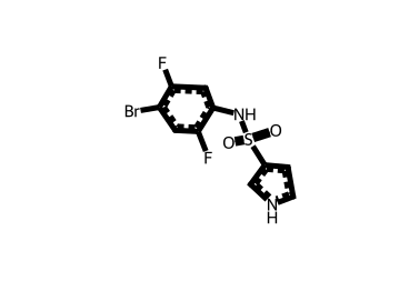 O=S(=O)(Nc1cc(F)c(Br)cc1F)c1cc[nH]c1